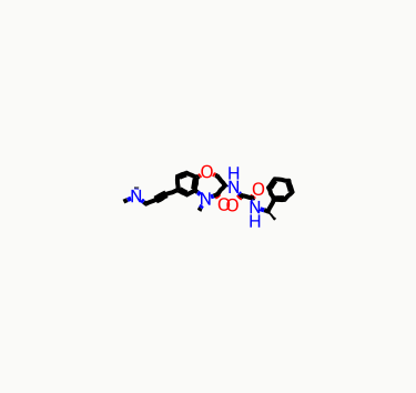 C[C@@H](NC(=O)C(=O)N[C@H]1COc2ccc(C#CCN(C)C)cc2N(C)C1=O)c1ccccc1